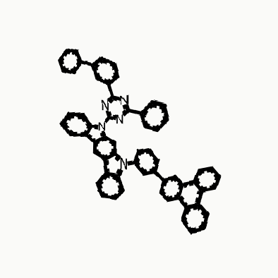 c1ccc(-c2cccc(-c3nc(-c4ccccc4)nc(-n4c5ccccc5c5cc6c7ccccc7n(-c7cccc(-c8ccc9c%10ccccc%10c%10ccccc%10c9c8)c7)c6cc54)n3)c2)cc1